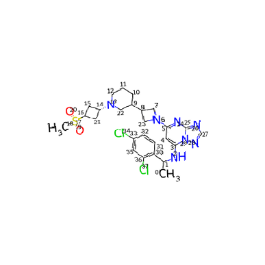 CC(Nc1cc(N2CC(C3CCCN([C@H]4C[C@H](S(C)(=O)=O)C4)C3)C2)nc2ncnn12)c1ccc(Cl)cc1Cl